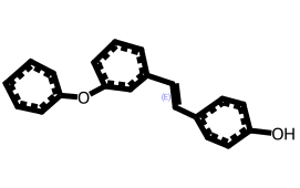 Oc1ccc(/C=C/c2cccc(Oc3ccccc3)c2)cc1